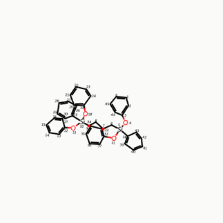 c1ccc(O[Si](CCCC[Si](Oc2ccccc2)(Oc2ccccc2)c2ccccc2)(Oc2ccccc2)c2ccccc2)cc1